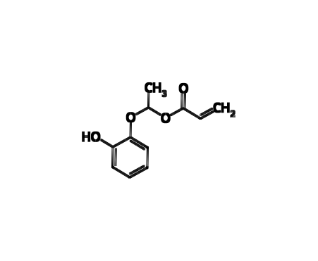 C=CC(=O)OC(C)Oc1ccccc1O